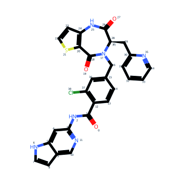 O=C(Nc1cc2[nH]ccc2cn1)c1ccc(CN2C(=O)c3sccc3NC(=O)[C@H]2Cc2ccccn2)cc1Cl